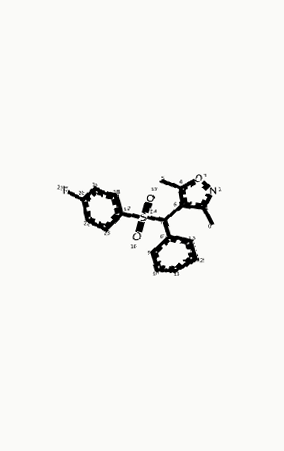 Cc1noc(C)c1C(c1ccccc1)S(=O)(=O)c1ccc(F)cc1